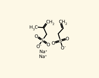 C=C(C)CS(=O)(=O)[O-].C=CCS(=O)(=O)[O-].[Na+].[Na+]